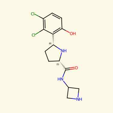 O=C(NC1CNC1)[C@@H]1CC[C@H](c2c(O)ccc(Cl)c2Cl)N1